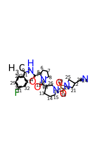 CC(NC(=O)[C@H]1CCCN1C(=O)[C@H]1CCCN(S(=O)(=O)N2CC(C#N)C2)C1)c1ccc(F)cc1